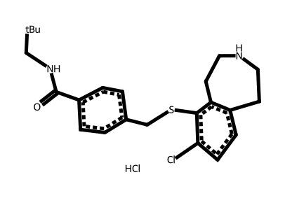 CC(C)(C)CNC(=O)c1ccc(CSc2c(Cl)ccc3c2CCNCC3)cc1.Cl